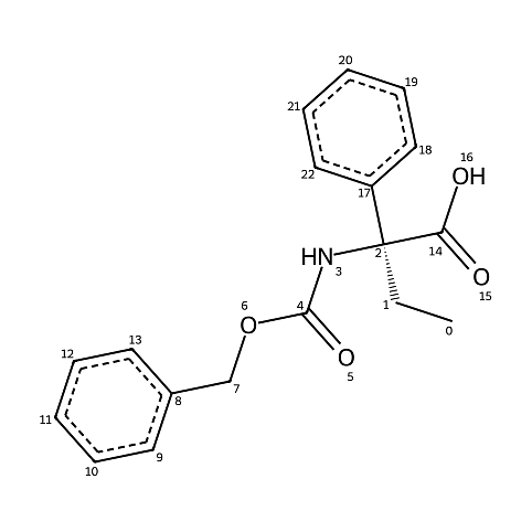 CC[C@@](NC(=O)OCc1ccccc1)(C(=O)O)c1ccccc1